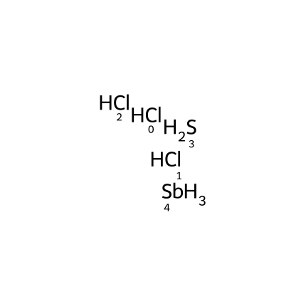 Cl.Cl.Cl.S.[SbH3]